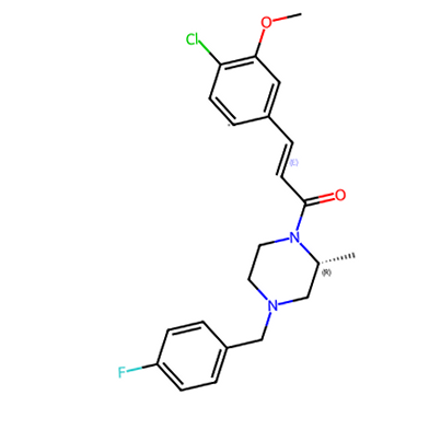 COc1cc(/C=C/C(=O)N2CCN(Cc3ccc(F)cc3)C[C@H]2C)[c]cc1Cl